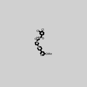 COc1cncc(C2CCN(C3CCN(C(=O)CNC(=O)c4ccc(Cl)c(Cl)c4)C3)CC2)c1